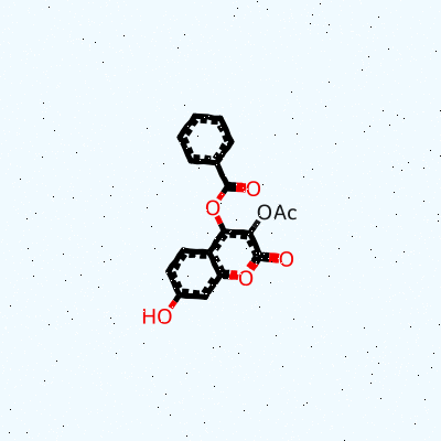 CC(=O)Oc1c(OC(=O)c2ccccc2)c2ccc(O)cc2oc1=O